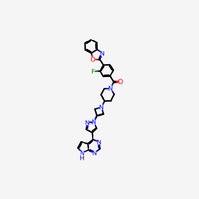 O=C(c1ccc(-c2nc3ccccc3o2)c(F)c1)N1CCC(N2CC(n3cc(-c4ncnc5[nH]ccc45)cn3)C2)CC1